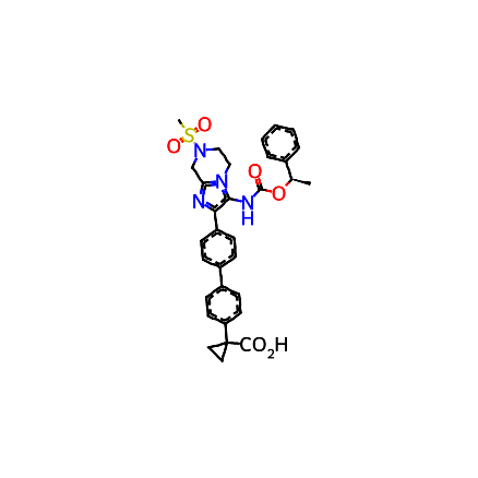 C[C@@H](OC(=O)Nc1c(-c2ccc(-c3ccc(C4(C(=O)O)CC4)cc3)cc2)nc2n1CCN(S(C)(=O)=O)C2)c1ccccc1